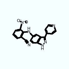 N#Cc1cccc([N+](=O)[O-])c1Nc1ccc2[nH]nc(-c3ccncc3)c2c1